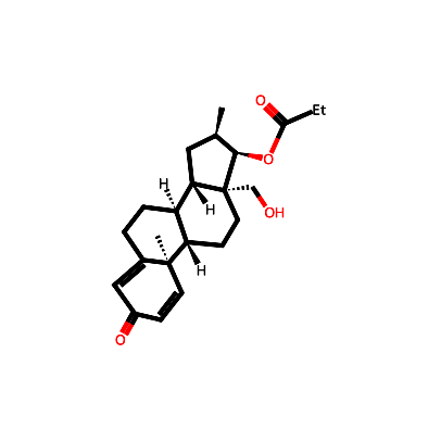 CCC(=O)O[C@@H]1[C@H](C)C[C@H]2[C@@H]3CCC4=CC(=O)C=C[C@]4(C)[C@H]3CC[C@]12CO